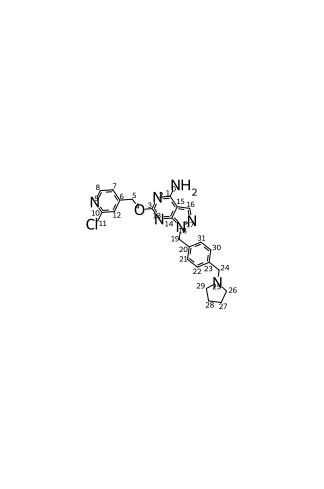 Nc1nc(OCc2ccnc(Cl)c2)nc2c1cnn2Cc1ccc(CN2CCCC2)cc1